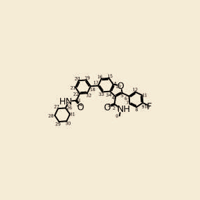 CNC(=O)c1c(-c2ccc(F)cc2)oc2ccc(-c3cccc(C(=O)NC4CCCCC4)c3)cc12